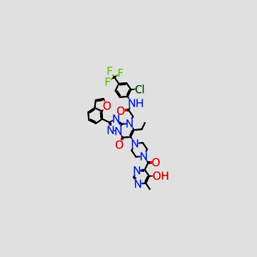 CCc1c(N2CCN(C(=O)c3ncnc(C)c3O)CC2)c(=O)n2nc(-c3cccc4ccoc34)nc2n1CC(=O)Nc1ccc(C(F)(F)F)cc1Cl